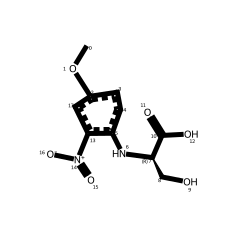 COc1ccc(N[C@H](CO)C(=O)O)c([N+](=O)[O-])c1